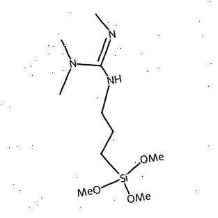 CN=C(NCCC[Si](OC)(OC)OC)N(C)C